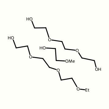 CCOCCOCCOCCO.COCCO.OCCOCCOCCO